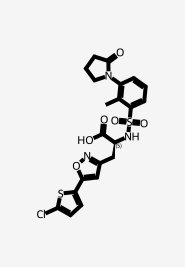 Cc1c(N2CCCC2=O)cccc1S(=O)(=O)N[C@@H](Cc1cc(-c2ccc(Cl)s2)on1)C(=O)O